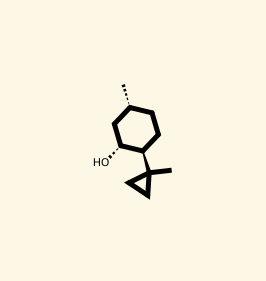 C[C@@H]1CC[C@@H](C2(C)CC2)[C@H](O)C1